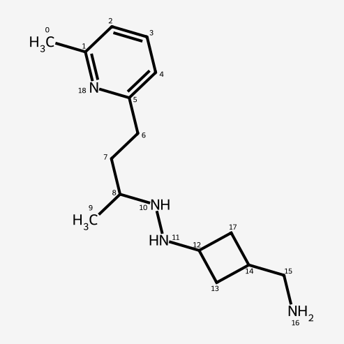 Cc1cccc(CCC(C)NNC2CC(CN)C2)n1